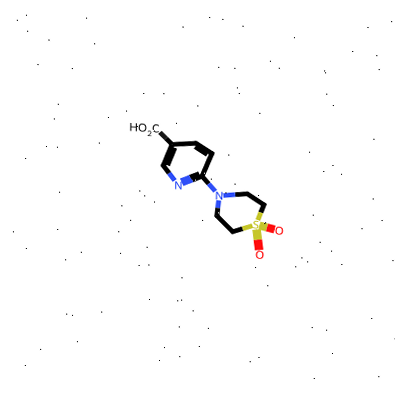 O=C(O)c1ccc(N2CCS(=O)(=O)CC2)nc1